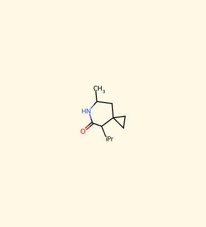 CC1CC2(CC2)C(C(C)C)C(=O)N1